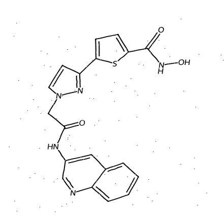 O=C(Cn1ccc(-c2ccc(C(=O)NO)s2)n1)Nc1cnc2ccccc2c1